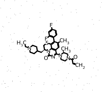 C=CC(=O)N1CCN(c2nc(=O)n3c4c(c(-c5ccc(F)cc5F)c(C)cc24)SC[C@@H]3CC2CCN(CC)CC2)[C@@H](C)C1